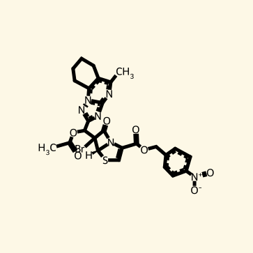 CC(=O)OC(c1nc2nc(C)c3c(n2n1)CCCC3)C1(Br)C(=O)N2C(C(=O)OCc3ccc([N+](=O)[O-])cc3)=CS[C@@H]21